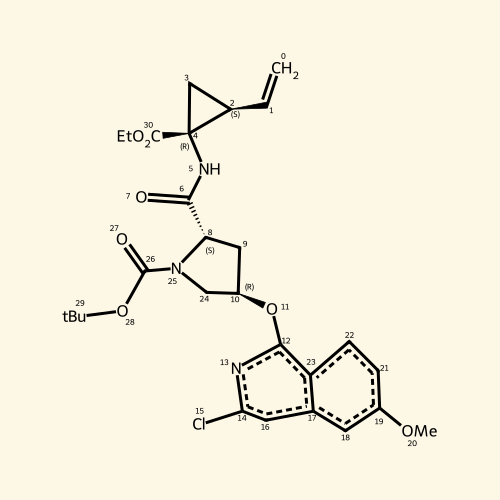 C=C[C@@H]1C[C@]1(NC(=O)[C@@H]1C[C@@H](Oc2nc(Cl)cc3cc(OC)ccc23)CN1C(=O)OC(C)(C)C)C(=O)OCC